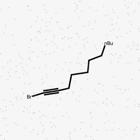 CCCCCCCCCC#CBr